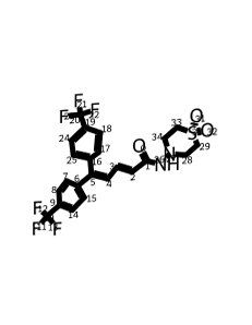 O=C(/C=C/C=C(c1ccc(C(F)(F)F)cc1)c1ccc(C(F)(F)F)cc1)NN1CCS(=O)(=O)CC1